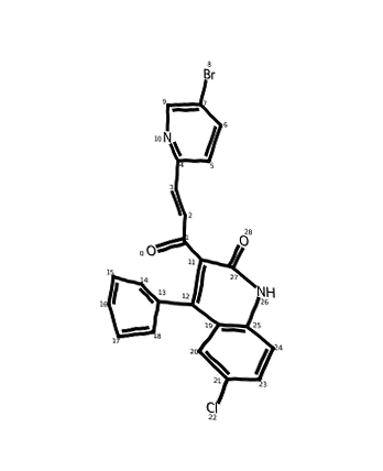 O=C(C=Cc1ccc(Br)cn1)c1c(-c2ccccc2)c2cc(Cl)ccc2[nH]c1=O